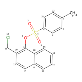 Cc1ccc(S(=O)(=O)Oc2c(CCl)ccc3ccccc23)cc1